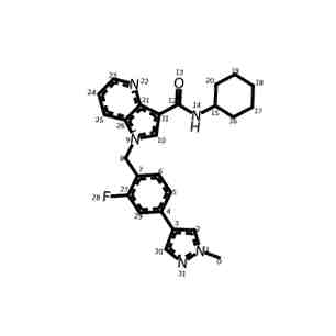 Cn1cc(-c2ccc(Cn3cc(C(=O)NC4CCCCC4)c4ncccc43)c(F)c2)cn1